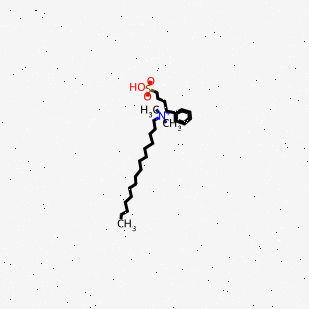 CCCCCCCCCCCCCCCC[N+](C)(C)C(CCCS(=O)(=O)O)c1ccccc1